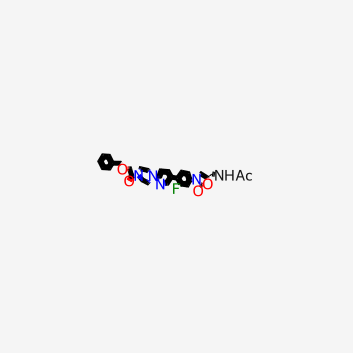 CC(=O)NC[C@H]1CN(c2ccc(-c3ccc(N4CCN(C(=O)COCc5ccccc5)CC4)nc3)c(F)c2)C(=O)O1